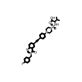 CC(C)[C@@H](NS(=O)(=O)N1CCN(c2ccc(C#Cc3ccc4ncn(Cc5ccc(F)cc5)c(=O)c4c3)cc2)CC1)C(=O)O